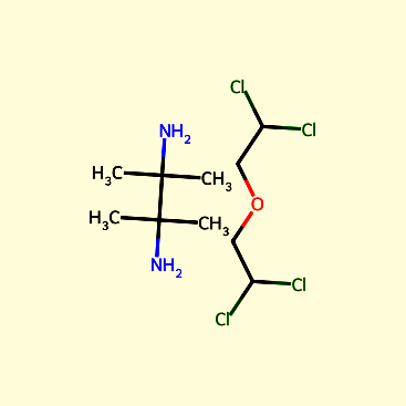 CC(C)(N)C(C)(C)N.ClC(Cl)COCC(Cl)Cl